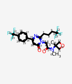 CN(C(=O)Cn1c(CCCC(F)(F)F)nc(-c2ccc(C(F)(F)F)cc2)cc1=O)C1(C)COC1